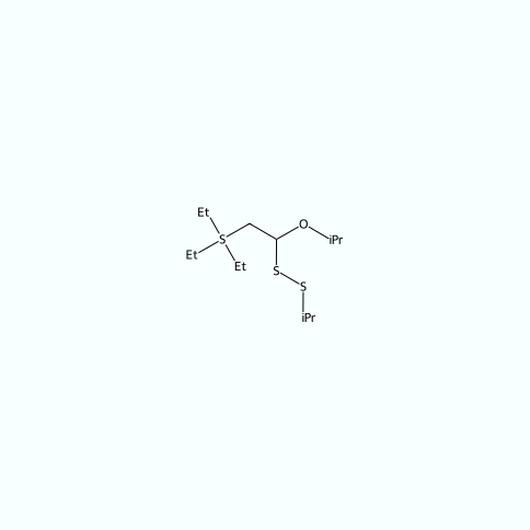 CCS(CC)(CC)CC(OC(C)C)SSC(C)C